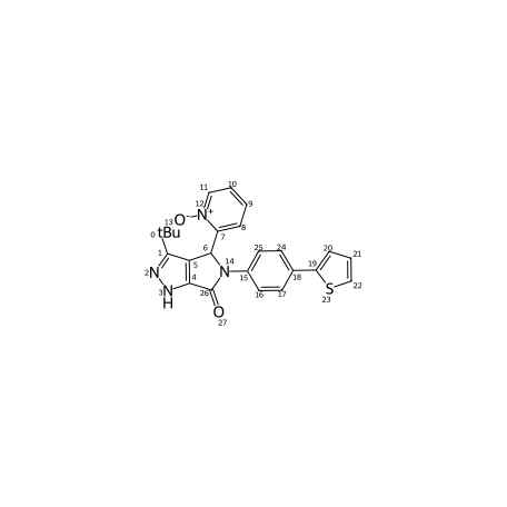 CC(C)(C)c1n[nH]c2c1C(c1cccc[n+]1[O-])N(c1ccc(-c3cccs3)cc1)C2=O